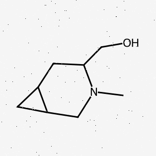 CN1CC2CC2CC1CO